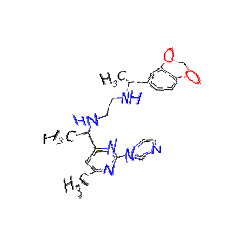 Cc1cc(C(C)NCCNC(C)c2ccc3c(c2)OCO3)nc(-n2ccnc2)n1